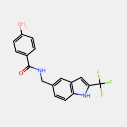 Bc1ccc(C(=O)NCc2ccc3[nH]c(C(F)(F)F)cc3c2)cc1